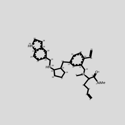 C=CCCC(C(=O)NC)N(C)Cc1cc(CC2CCCC2NCc2ccc3[nH]ccc3c2)ccc1C=C